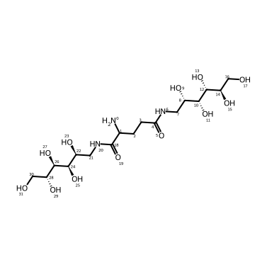 NC(CCC(=O)NC[C@H](O)[C@@H](O)[C@H](O)[C@H](O)CO)C(=O)NC[C@H](O)[C@@H](O)[C@H](O)[C@H](O)CO